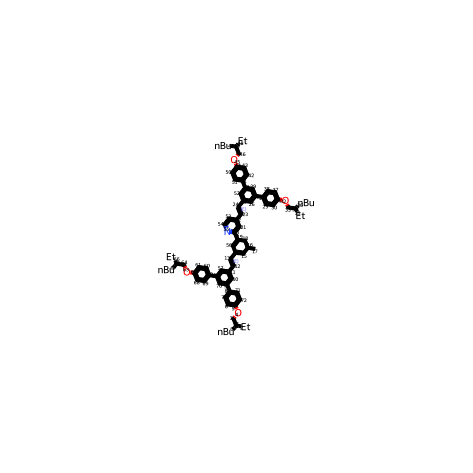 CCCCC(CC)COc1ccc(-c2cc(/C=C/C3=CC(C)CC(c4cc(/C=C/c5cc(-c6ccc(OCC(CC)CCCC)cc6)cc(-c6ccc(OCC(CC)CCCC)cc6)c5)ccn4)=C3)cc(-c3ccc(OCC(CC)CCCC)cc3)c2)cc1